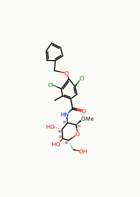 CO[C@H]1O[C@H](CO)[C@@H](O)[C@H](O)[C@H]1NC(=O)c1cc(Cl)c(OCc2ccccc2)c(Cl)c1C